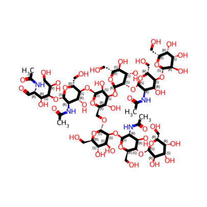 CC(=O)N[C@H]1[C@H](O[C@@H]([C@H](O)[C@H](C=O)NC(C)=O)[C@H](O)CO)O[C@H](CO)[C@@H](O[C@@H]2O[C@H](CO[C@H]3O[C@H](CO)[C@@H](O)[C@H](O)[C@@H]3O[C@@H]3O[C@H](CO)[C@@H](O[C@@H]4O[C@H](CO)[C@H](O)[C@H](O)[C@H]4O)[C@H](O)[C@H]3NC(C)=O)[C@@H](O)[C@H](O[C@H]3O[C@H](CO)[C@@H](O)[C@H](O)[C@@H]3O[C@@H]3O[C@H](CO)[C@@H](O[C@@H]4O[C@H](CO)[C@H](O)[C@H](O)[C@H]4O)[C@H](O)[C@H]3NC(C)=O)[C@@H]2O)[C@@H]1O